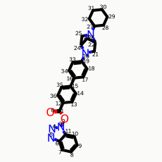 O=C(On1nnc2ccccc21)c1ccc(-c2ccc(N3CC4CC3CN4C3CCCCC3)cc2)cc1